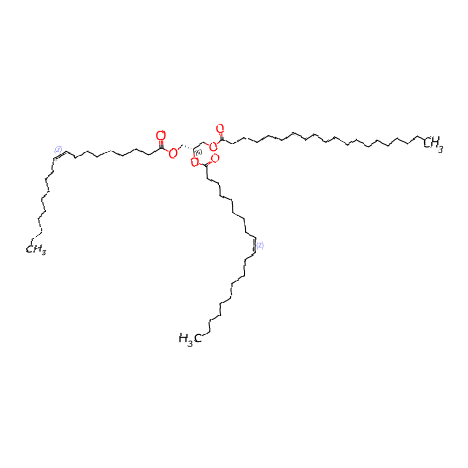 CCCCCCCCC/C=C\CCCCCCCC(=O)OC[C@H](COC(=O)CCCCCCCCCCCCCCCCCCC)OC(=O)CCCCCCC/C=C\CCCCCCCCC